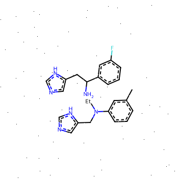 CCN(Cc1cnc[nH]1)c1cccc(C)c1.NC(Cc1cnc[nH]1)c1cccc(F)c1